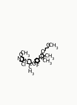 COCCCO[C@H]1CN(c2ccc(OC3CCN(c4cc(OC)ncc4Cl)CC3C)c(F)c2)[C@@H](C)[C@@H]1C